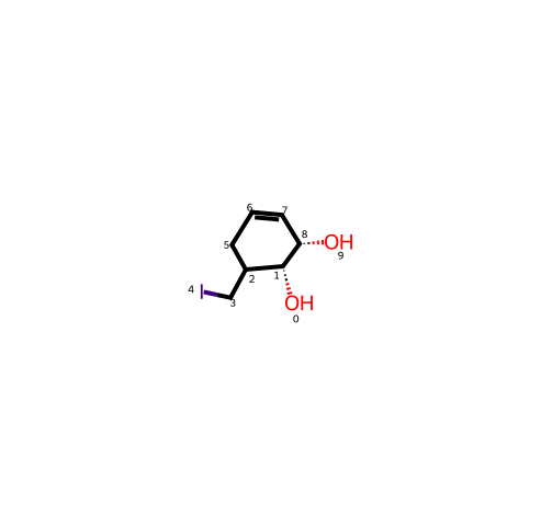 O[C@@H]1C(CI)CC=C[C@@H]1O